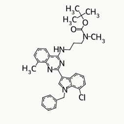 Cc1cccc2c(NCCCN(C)C(=O)OC(C)(C)C)nc(-c3cn(Cc4ccccc4)c4c(Cl)cccc34)nc12